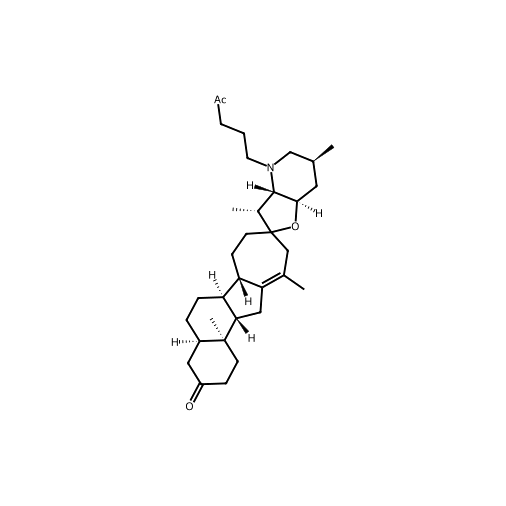 CC(=O)CCCN1C[C@@H](C)C[C@H]2OC3(CC[C@@H]4C(=C(C)C3)C[C@H]3[C@H]4CC[C@@H]4CC(=O)CC[C@@]43C)[C@H](C)[C@@H]21